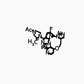 CC(=O)N1CCN(c2nc(=O)n3c4nc(c(F)cc24)-n2nncc2CCOc2ccnc(C(C)C)c2-3)[C@@H](C)C1